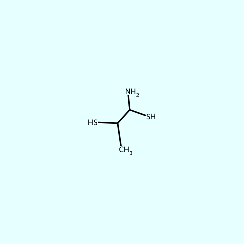 CC(S)C(N)S